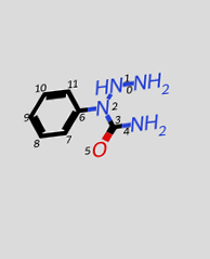 NNN(C(N)=O)c1ccccc1